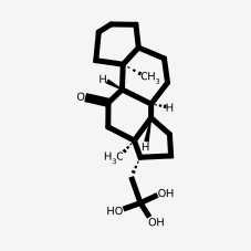 C[C@]12CC(=O)[C@H]3[C@@H](CCC4CCCC[C@@]43C)[C@@H]1CC[C@@H]2CC(O)(O)O